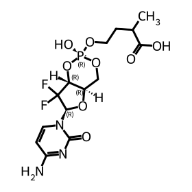 CC(CCO[P@]1(O)OC[C@H]2O[C@@H](n3ccc(N)nc3=O)C(F)(F)[C@@H]2O1)C(=O)O